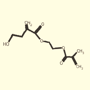 C=C(C)C(=O)OCCOC(=O)C(=C)CCO